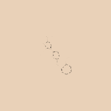 CC(=O)Nc1nc(C)c(-c2csc(Nc3ccccc3OC(F)(F)F)n2)s1